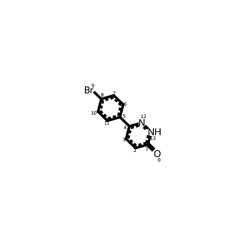 O=c1ccc(-c2ccc(Br)cc2)n[nH]1